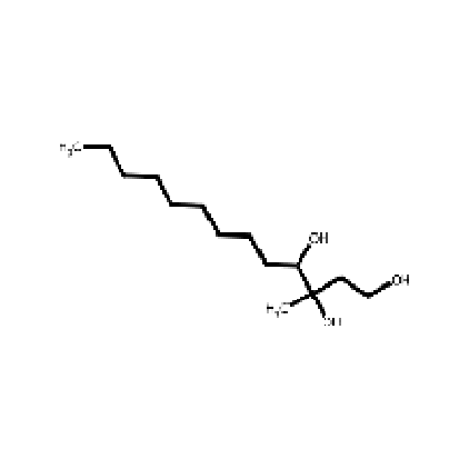 CCCCCCCCCC(O)C(C)(O)CCO